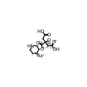 C1CCNCC1.O=C(O)CC(O)(CC(=O)O)C(=O)[O-].[Na+]